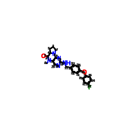 CN1C(=O)C2CCCN2c2nc(NCc3ccc(Oc4ccc(F)cc4)cc3)ncc21